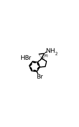 Br.N[C@@H]1C[C@@]12CCc1c(Br)cccc12